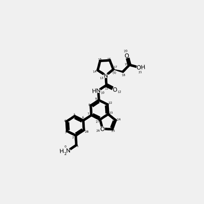 NCc1cccc(-c2cc(NC(=O)N3CCC[C@H]3CC(=O)O)cc3ccoc23)c1